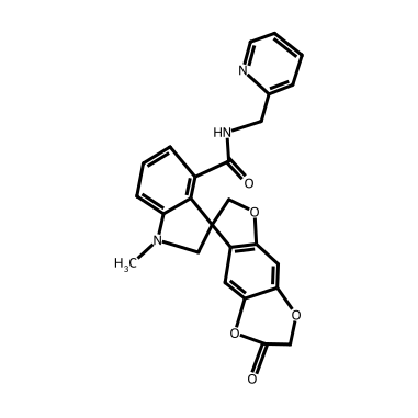 CN1CC2(COc3cc4c(cc32)OC(=O)CO4)c2c(C(=O)NCc3ccccn3)cccc21